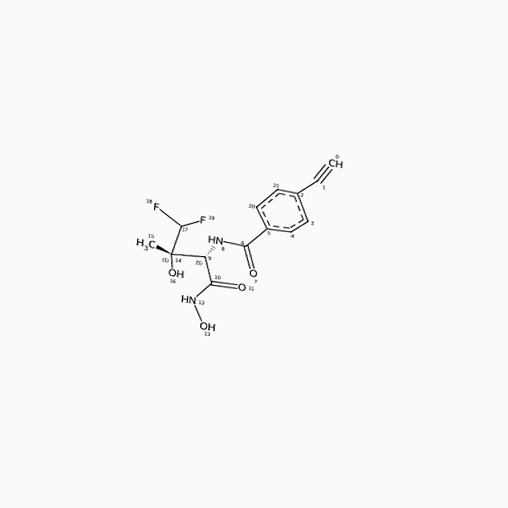 C#Cc1ccc(C(=O)N[C@H](C(=O)NO)[C@](C)(O)C(F)F)cc1